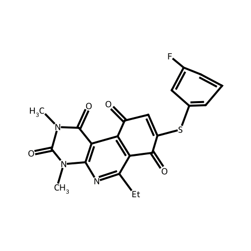 CCc1nc2c(c3c1C(=O)C(Sc1cccc(F)c1)=CC3=O)c(=O)n(C)c(=O)n2C